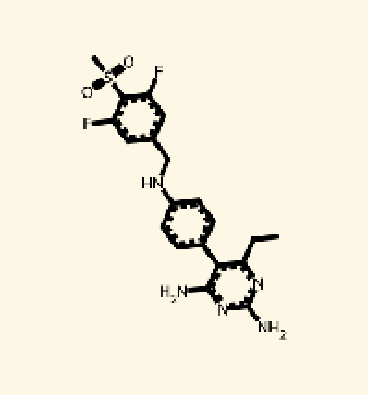 CCc1nc(N)nc(N)c1-c1ccc(NCc2cc(F)c(S(C)(=O)=O)c(F)c2)cc1